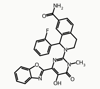 Cn1c(N2CCc3ccc(C(N)=O)cc3C2c2ccccc2F)nc(-c2nc3ccccc3o2)c(O)c1=O